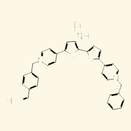 C=Cc1ccc(C[n+]2ccc(-c3ccc(-c4ccc(-c5cc[n+](Cc6ccccc6)cc5)s4)s3)cc2)cc1.N.[Br-].[Cl-]